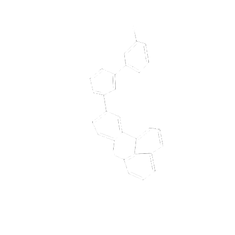 Brc1cccc(-c2cccc(-c3ccc4c(c3)-c3cccc5cccc(c35)O4)c2)c1